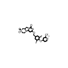 O=c1nc(OCc2cc(F)c(Oc3ccnc(C(F)(F)F)c3)c(F)c2)cc2n1CC1CS(=O)(=O)CCN21